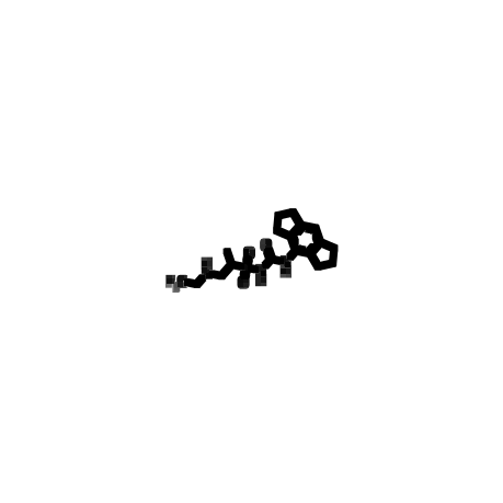 CC(CNCC(F)(F)F)S(=O)(=O)NC(=O)Nc1c2c(cc3c1CCC3)CCC2